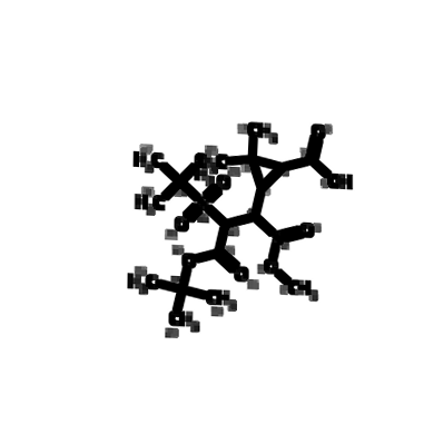 COS(=O)C(C1C(C(=O)O)C1(C)C)C(C(=O)OC(C)(C)C)S(=O)(=O)C(C)(C)C